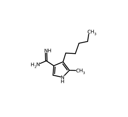 CCCCCc1c(C(=N)N)c[nH]c1C